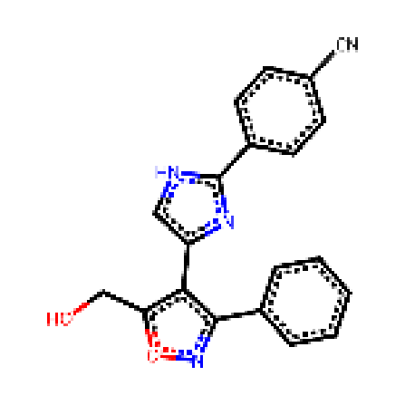 N#Cc1ccc(-c2nc(-c3c(-c4ccccc4)noc3CO)c[nH]2)cc1